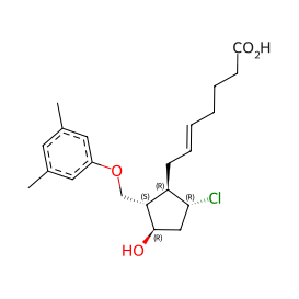 Cc1cc(C)cc(OC[C@@H]2[C@@H](CC=CCCCC(=O)O)[C@H](Cl)C[C@H]2O)c1